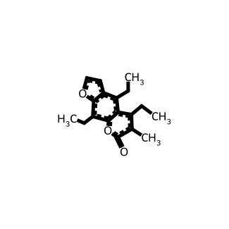 CCc1c2occc2c(CC)c2c(CC)c(C)c(=O)oc12